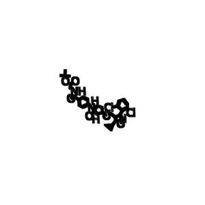 CC(C)(C)OC(=O)CNC(=O)c1ccc(N2C(=O)[C@@H]3C[C@H]2C[C@H]3OCc2c(-c3c(Cl)cccc3Cl)noc2C2CC2)cc1